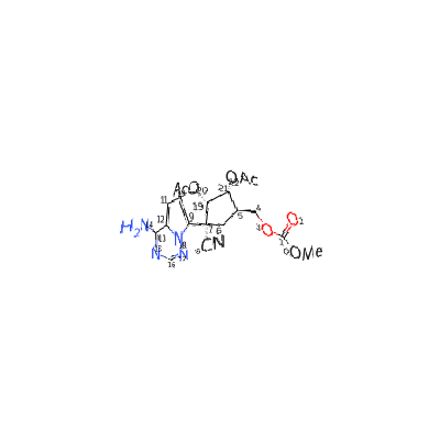 COC(=O)OC[C@H]1C[C@@](C#N)(c2ccc3c(N)ncnn23)[C@H](OC(C)=O)[C@@H]1OC(C)=O